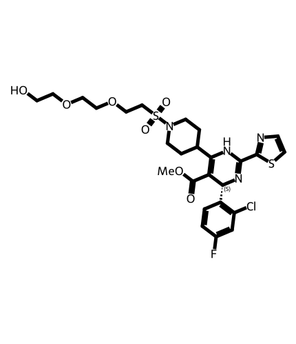 COC(=O)C1=C(C2CCN(S(=O)(=O)CCOCCOCCO)CC2)NC(c2nccs2)=N[C@@H]1c1ccc(F)cc1Cl